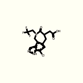 O=C(O)CC1Cc2cc(Cl)c3[nH]ncc3c2CN(CC(F)(F)F)C1=O